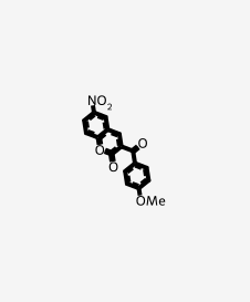 COc1ccc(C(=O)c2cc3cc([N+](=O)[O-])ccc3oc2=O)cc1